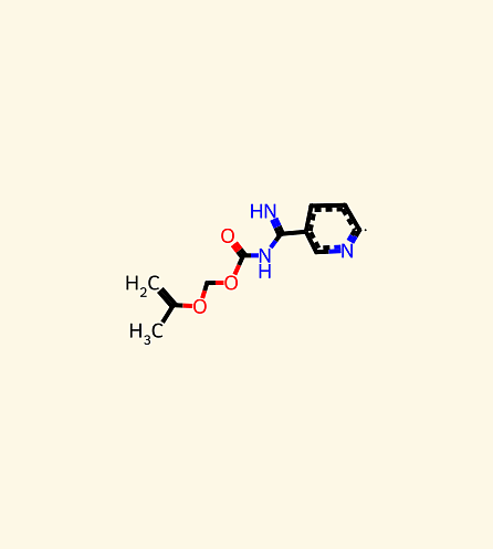 C=C(C)OCOC(=O)NC(=N)c1cc[c]nc1